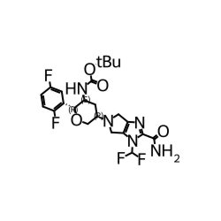 CC(C)(C)OC(=O)N[C@H]1C[C@@H](N2Cc3nc(C(N)=O)n(C(F)F)c3C2)CO[C@@H]1c1cc(F)ccc1F